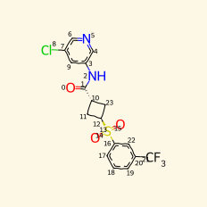 O=C(Nc1cncc(Cl)c1)[C@H]1C[C@H](S(=O)(=O)c2cccc(C(F)(F)F)c2)C1